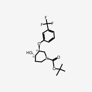 CC(C)(C)OC(=O)N1CC[C@H](O)[C@@H](Oc2cccc(C(F)(F)F)c2)C1